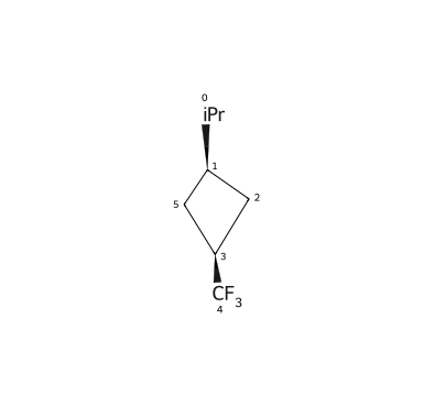 CC(C)[C@H]1C[C@@H](C(F)(F)F)C1